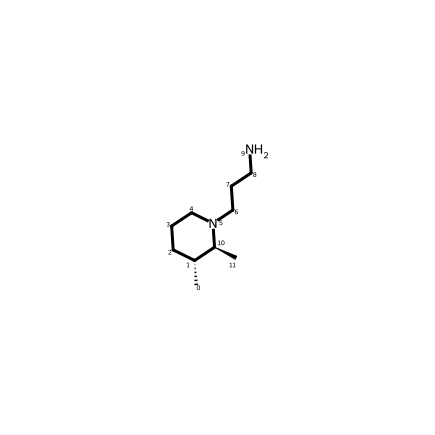 C[C@@H]1CCCN(CCCN)[C@H]1C